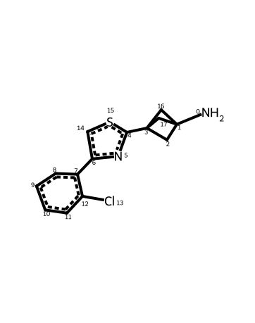 NC12CC(c3nc(-c4ccccc4Cl)cs3)(C1)C2